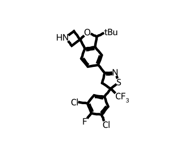 CC(C)(C)C1OC2(CNC2)c2ccc(C3=NSC(c4cc(Cl)c(F)c(Cl)c4)(C(F)(F)F)C3)cc21